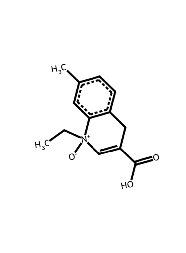 CC[N+]1([O-])C=C(C(=O)O)Cc2ccc(C)cc21